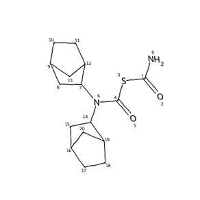 NC(=O)SC(=O)N(C1CC2CCC1C2)C1CC2CCC1C2